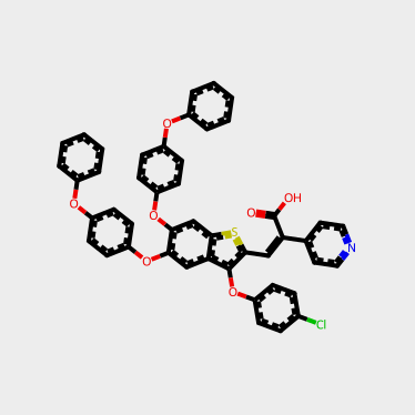 O=C(O)C(=Cc1sc2cc(Oc3ccc(Oc4ccccc4)cc3)c(Oc3ccc(Oc4ccccc4)cc3)cc2c1Oc1ccc(Cl)cc1)c1ccncc1